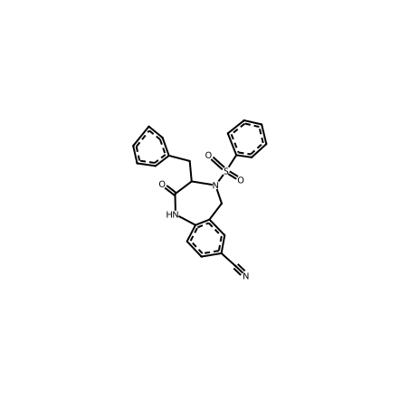 N#Cc1ccc2c(c1)CN(S(=O)(=O)c1ccccc1)C(Cc1ccccc1)C(=O)N2